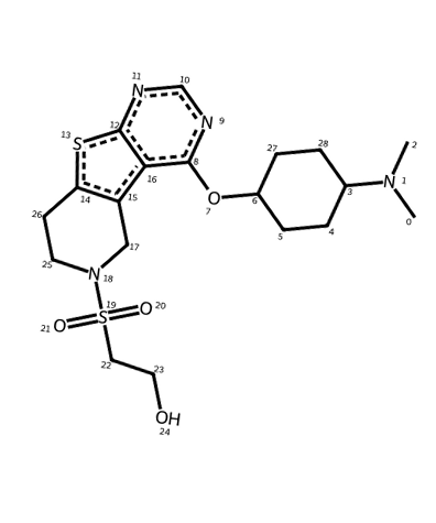 CN(C)C1CCC(Oc2ncnc3sc4c(c23)CN(S(=O)(=O)CCO)CC4)CC1